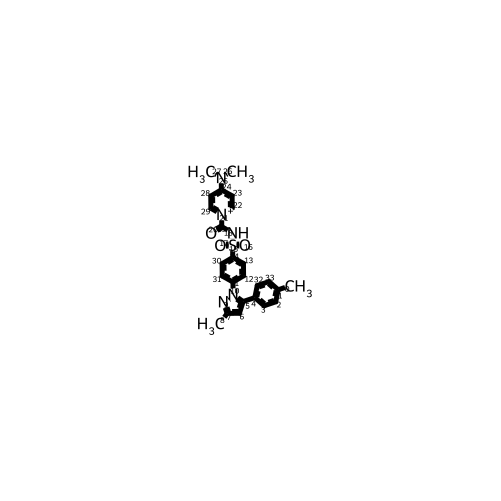 Cc1ccc(-c2cc(C)nn2-c2ccc(S(=O)(=O)NC(=O)[n+]3ccc(N(C)C)cc3)cc2)cc1